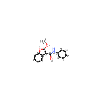 COc1oc2ccccc2c1C(=O)Nc1ccccc1